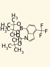 CC(C)(C)OC(=O)n1ccc2c(C(F)(F)F)ccc(B3OC(C)(C)C(C)(C)O3)c21